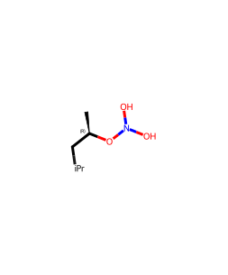 CC(C)C[C@@H](C)ON(O)O